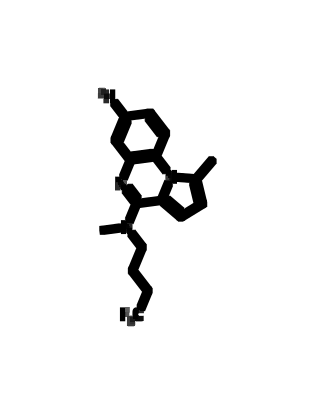 [2H]c1ccc2c(c1)nc(N(C)CCCC(F)(F)F)c1ccc(C)n12